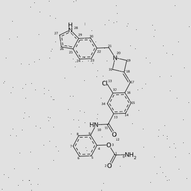 NC(=O)Oc1ccccc1NC(=O)c1ccc(C=C2CN(Cc3ccc4cc[nH]c4c3)C2)c(Cl)c1